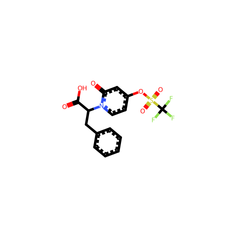 O=C(O)C(Cc1ccccc1)n1ccc(OS(=O)(=O)C(F)(F)F)cc1=O